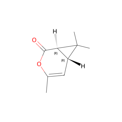 CC1=C[C@@H]2[C@@H](C(=O)O1)C2(C)C